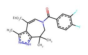 CCOC(=O)C1=CN(C(=O)c2ccc(F)c(F)c2)CC(C)(C)c2[nH]nc(C)c21